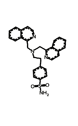 NS(=O)(=O)c1ccc(CCN(Cc2nccc3ccccc23)Cc2nccc3ccccc23)cc1